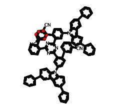 N#Cc1ccc(-c2ccccc2-c2nc(-c3cc(-n4c5ccc(-c6ccccc6)cc5c5cc(-c6ccccc6)ccc54)ccc3-c3cccc(C#N)c3)nc(-c3cc(-n4c5ccc(-c6ccccc6)cc5c5cc(-c6ccccc6)ccc54)ccc3-c3cccc(C#N)c3)n2)cc1